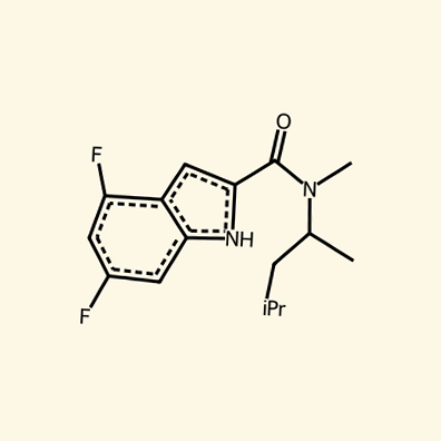 CC(C)CC(C)N(C)C(=O)c1cc2c(F)cc(F)cc2[nH]1